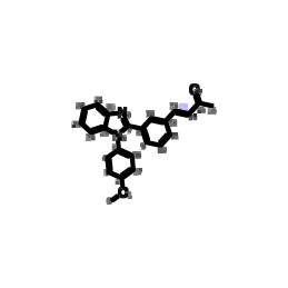 COc1ccc(-n2c(-c3cccc(/C=C/C(C)=O)c3)nc3ccccc32)cc1